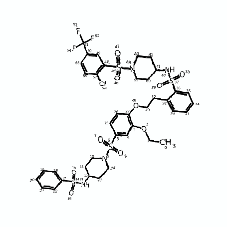 CCOc1cc(S(=O)(=O)N2CCC(NS(=O)(=O)c3ccccc3)CC2)ccc1OCCc1ccccc1S(=O)(=O)NC1CCN(S(=O)(=O)c2cc(C(F)(F)F)ccc2Cl)CC1